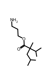 CC(C)CC(C)(C(=O)OCCCN)C(C)C